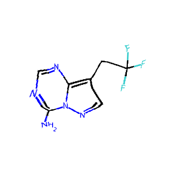 Nc1ncnc2c(CC(F)(F)F)cnn12